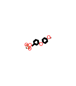 COc1ccc(Oc2cccc(COS(C)(=O)=O)c2)cc1